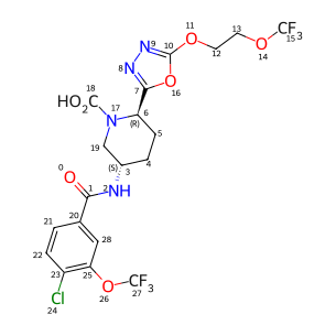 O=C(N[C@H]1CC[C@H](c2nnc(OCCOC(F)(F)F)o2)N(C(=O)O)C1)c1ccc(Cl)c(OC(F)(F)F)c1